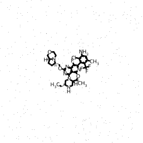 CC[C@@H]1CN2c3nc(OC[C@@H]4CC[C@H]5COCCN54)nc4c(F)c(-c5c(Cl)c(N)cc(C)c5C(F)(F)F)nc(c34)O[C@@H](C)[C@@H]2CN1